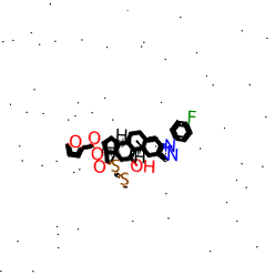 CSCSC(=O)[C@@]1(OC(=O)c2ccco2)CC[C@H]2[C@@H]3CCC4=Cc5c(cnn5-c5ccc(F)cc5)C[C@]4(C)[C@H]3[C@@H](O)C[C@@]21C